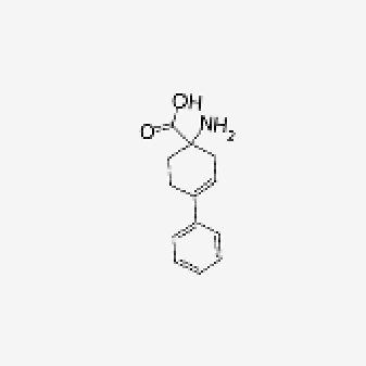 NC1(C(=O)O)CC=C(c2ccccc2)CC1